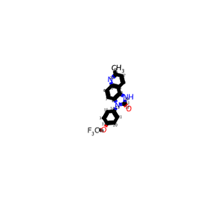 Cc1ccc2c(ccc3c2[nH]c(=O)n3-c2ccc(OC(F)(F)F)cc2)n1